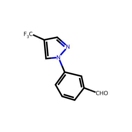 O=Cc1cccc(-n2cc(C(F)(F)F)cn2)c1